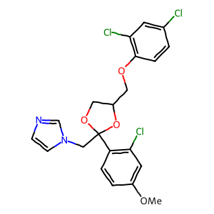 COc1ccc(C2(Cn3ccnc3)OCC(COc3ccc(Cl)cc3Cl)O2)c(Cl)c1